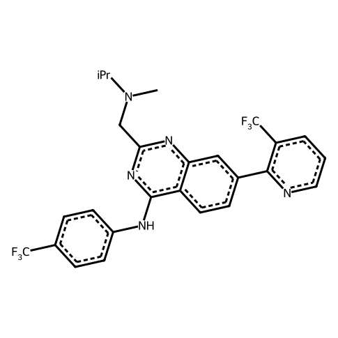 CC(C)N(C)Cc1nc(Nc2ccc(C(F)(F)F)cc2)c2ccc(-c3ncccc3C(F)(F)F)cc2n1